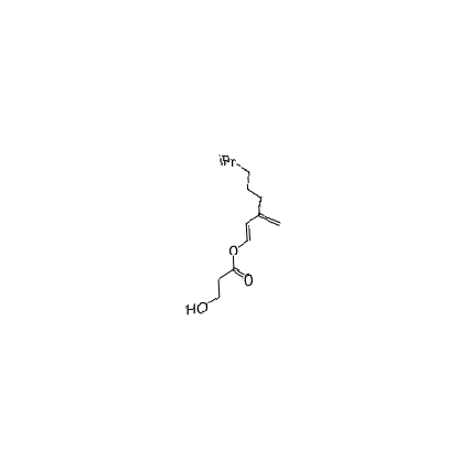 C=C(C=COC(=O)CCO)CCCC(C)C